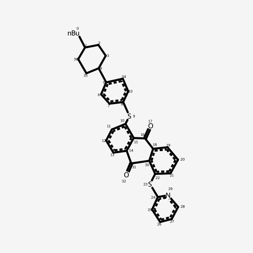 CCCCC1CCC(c2ccc(Sc3cccc4c3C(=O)c3cccc(Sc5ccccn5)c3C4=O)cc2)CC1